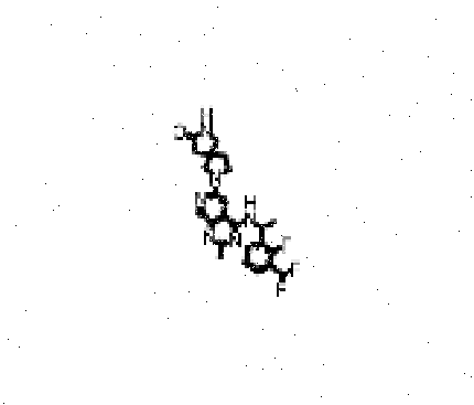 Cc1nc(NC(C)c2cccc(C(F)F)c2F)c2cc(N3CCC4(CNC(=O)C4)C3)ncc2n1